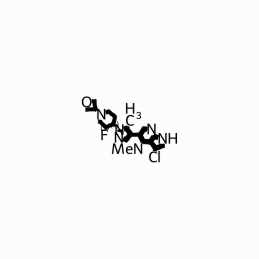 CNc1c(-c2cnn([C@H]3CCN(C4COC4)C[C@@H]3F)c2C)cnc2[nH]cc(Cl)c12